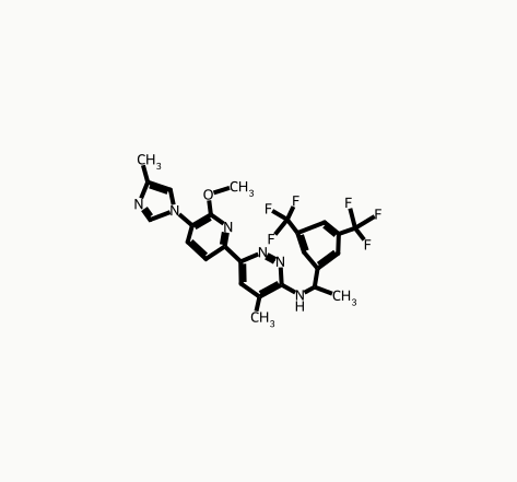 COc1nc(-c2cc(C)c(NC(C)c3cc(C(F)(F)F)cc(C(F)(F)F)c3)nn2)ccc1-n1cnc(C)c1